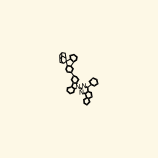 c1ccc(-c2nc(-n3c4ccccc4c4cc(-c5ccc6c(c5)-c5ccccc5C65C6CC7CC(C6)CC5C7)ccc43)nc3c2ccc2ccccc23)cc1